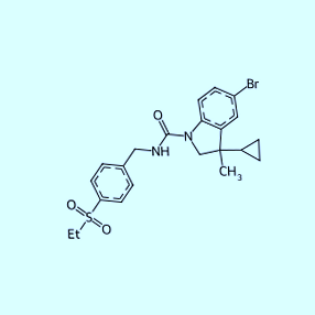 CCS(=O)(=O)c1ccc(CNC(=O)N2CC(C)(C3CC3)c3cc(Br)ccc32)cc1